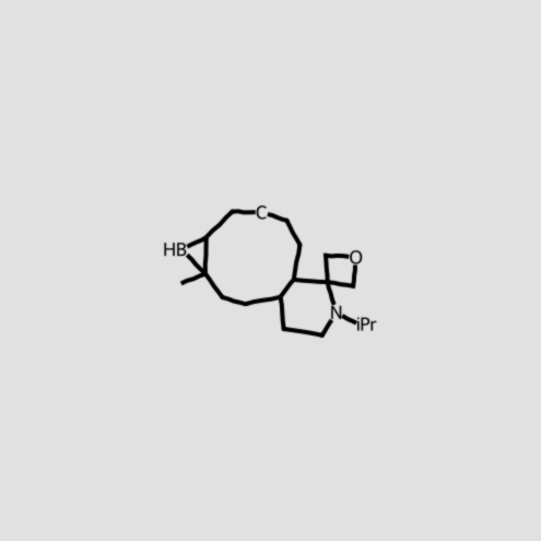 CC(C)N1CCC2CCC3(C)BC3CCCCC2C12COC2